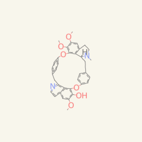 COc1cc2ccnc3c2c(c1O)Oc1ccc(cc1)C[C@@H]1c2c(cc(OC)c(OC)c2Oc2ccc(cc2)C3)CCN1C